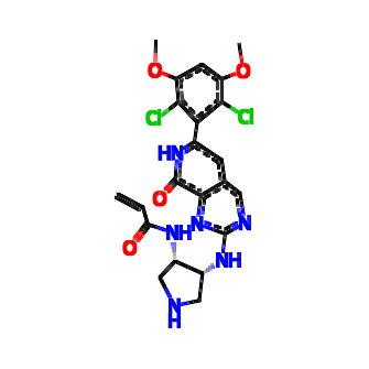 C=CC(=O)N[C@H]1CNC[C@H]1Nc1ncc2cc(-c3c(Cl)c(OC)cc(OC)c3Cl)[nH]c(=O)c2n1